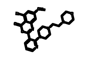 CCc1cc(OC)cc2nc(-c3cccnc3N3CCN(CCN4CCOCC4)CC3)oc(=O)c12